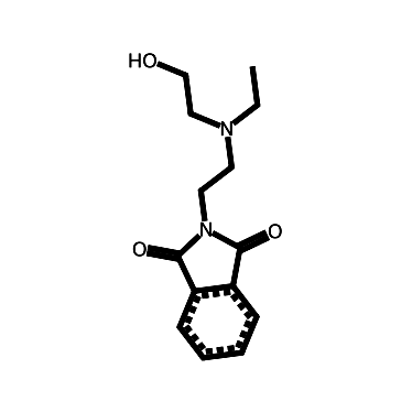 CCN(CCO)CCN1C(=O)c2ccccc2C1=O